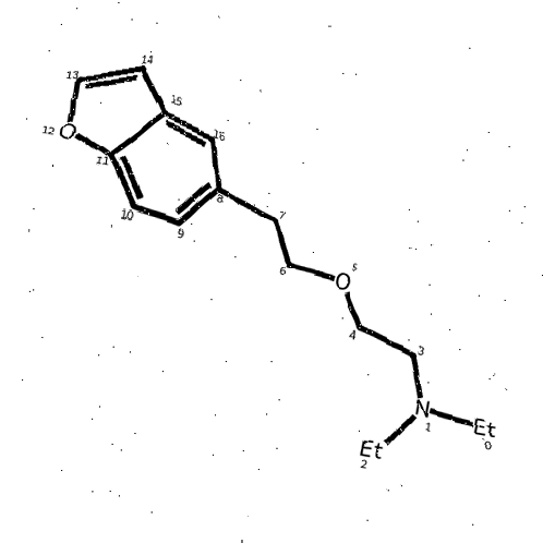 CCN(CC)CCOCCc1ccc2occc2c1